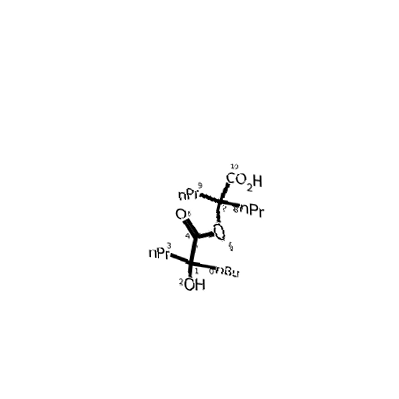 CCCCC(O)(CCC)C(=O)OC(CCC)(CCC)C(=O)O